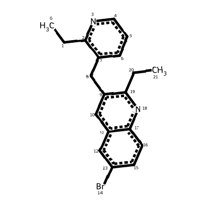 CCc1ncccc1Cc1cc2cc(Br)ccc2nc1CC